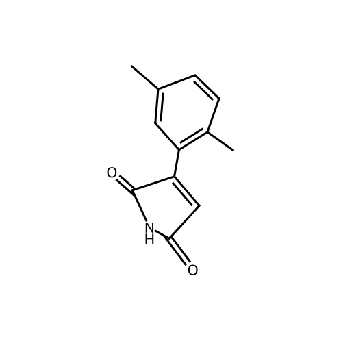 Cc1ccc(C)c(C2=CC(=O)NC2=O)c1